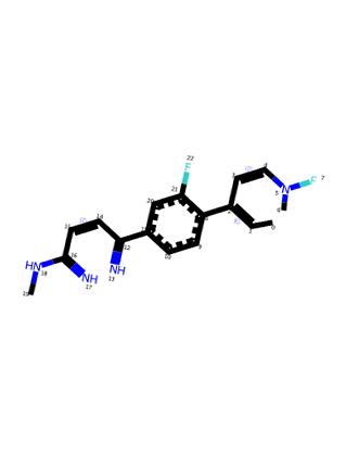 C/C=C(\C=C/N(C)F)c1ccc(C(=N)/C=C\C(=N)NC)cc1F